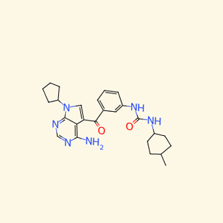 CC1CCC(NC(=O)Nc2cccc(C(=O)c3cn(C4CCCC4)c4ncnc(N)c34)c2)CC1